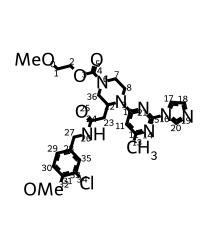 COCCOC(=O)N1CCN(c2cc(C)nc(-n3ccnc3)n2)C(CC(=O)NCc2ccc(OC)c(Cl)c2)C1